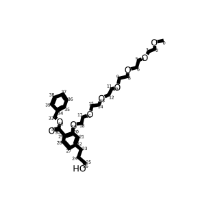 COCCOCCOCCOCCOCCOCCOc1cc(CCCO)ccc1C(=O)OCc1ccccc1